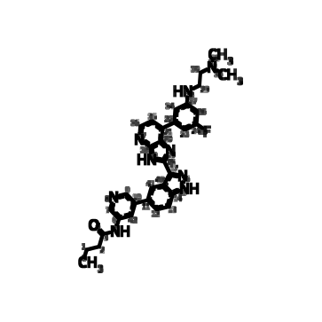 CCCC(=O)Nc1cncc(-c2ccc3[nH]nc(-c4nc5c(-c6cc(F)cc(NCCN(C)C)c6)ccnc5[nH]4)c3c2)c1